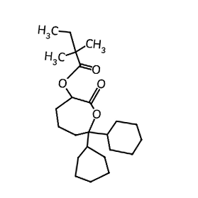 CCC(C)(C)C(=O)OC1CCCC(C2CCCCC2)(C2CCCCC2)OC1=O